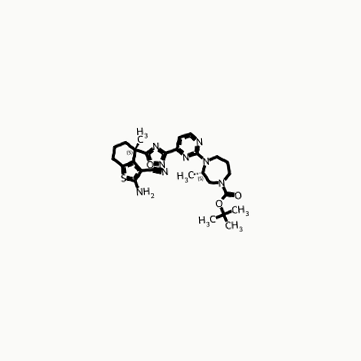 C[C@H]1CN(C(=O)OC(C)(C)C)CCCN1c1nccc(-c2noc([C@@]3(C)CCCc4sc(N)c(C#N)c43)n2)n1